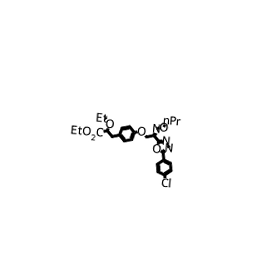 CCCON=C(COc1ccc(CC(OCC)C(=O)OCC)cc1)c1nnc(-c2ccc(Cl)cc2)o1